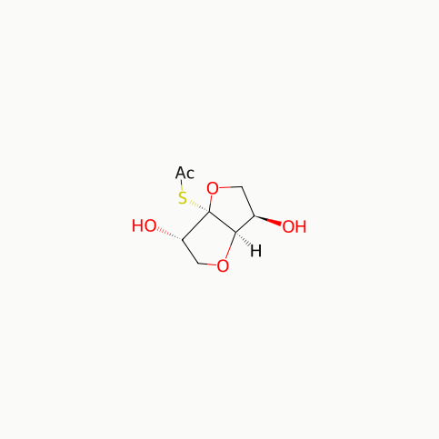 CC(=O)S[C@]12OC[C@@H](O)[C@H]1OC[C@@H]2O